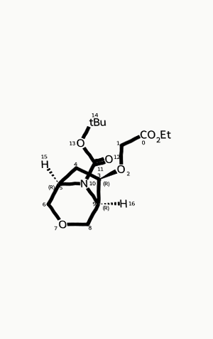 CCOC(=O)CO[C@@H]1C[C@@H]2COC[C@H]1N2C(=O)OC(C)(C)C